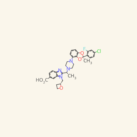 C[C@@H](c1nc2ccc(C(=O)O)cc2n1C[C@@H]1CCO1)N1CCN(c2cccc3c2O[C@](C)(c2ccc(Cl)cc2F)O3)CC1